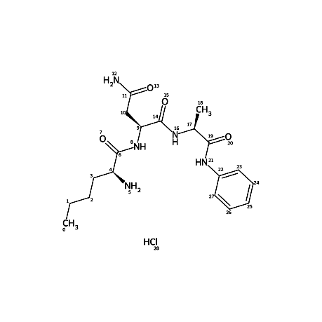 CCCC[C@H](N)C(=O)N[C@@H](CC(N)=O)C(=O)N[C@@H](C)C(=O)Nc1ccccc1.Cl